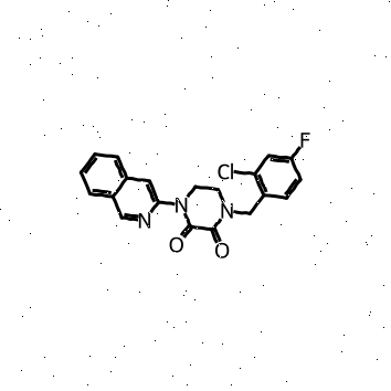 O=C1C(=O)N(c2cc3ccccc3cn2)CCN1Cc1ccc(F)cc1Cl